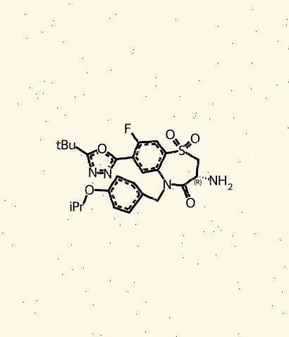 CC(C)Oc1ccc(CN2C(=O)[C@@H](N)CS(=O)(=O)c3cc(F)c(-c4nnc(C(C)(C)C)o4)cc32)cc1